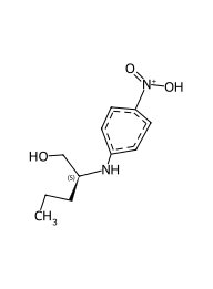 CCC[C@@H](CO)Nc1ccc([N+](=O)O)cc1